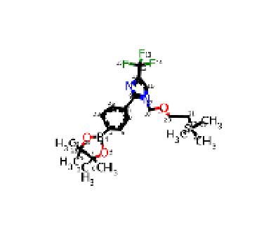 CC1(C)OB(c2ccc(-c3nc(C(F)(F)F)cn3COCC[Si](C)(C)C)cc2)OC1(C)C